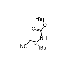 CC(C)(C)OC(=O)N[C@@H](CC#N)C(C)(C)C